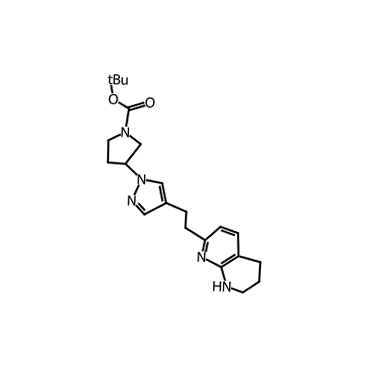 CC(C)(C)OC(=O)N1CCC(n2cc(CCc3ccc4c(n3)NCCC4)cn2)C1